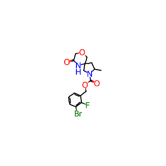 CC1CC2(COCC(=O)N2)CN1C(=O)OCc1cccc(Br)c1F